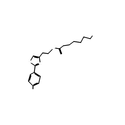 CCCCCCCC(=O)NCCc1c[nH]c(-c2ccc(Cl)cc2)n1